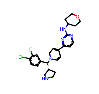 Fc1cc(C([C@@H]2CCNC2)N2C=CC(c3ccnc(NC4CCOCC4)n3)=CC2)ccc1Cl